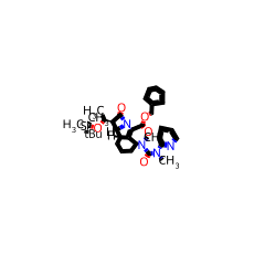 CC(O[Si](C)(C)C(C)(C)C)[C@H]1C(=O)N2C(C(=O)OCc3ccccc3)=C3[C@H](CCC[C@@H]3N(C)C(=O)N(C)c3ccccn3)[C@H]12